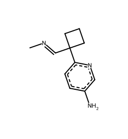 C/N=C/C1(c2ccc(N)cn2)CCC1